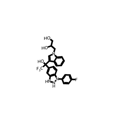 OCC(O)Cn1cc(C(O)(c2ccc3c(c2)NNN3c2ccc(F)cc2)C(F)(F)F)c2ccccc21